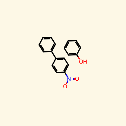 O=[N+]([O-])c1ccc(-c2ccccc2)cc1.Oc1ccccc1